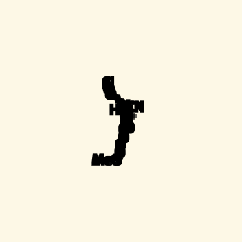 COCCOCCOCCOCCOC(=O)OC[n+]1ccc(N/C(=N\CCCCCCOc2ccc(Cl)cc2)NC#N)cc1